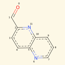 O=Cc1ccc2ncccc2n1